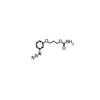 [N-]=[N+]=Nc1cccc(OCCCOC(N)=O)c1